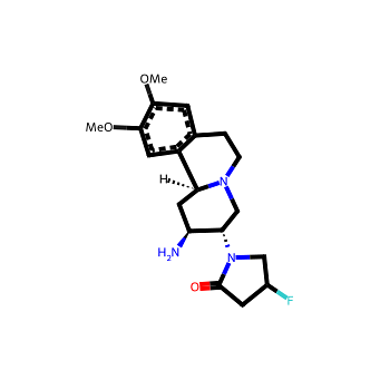 COc1cc2c(cc1OC)[C@@H]1C[C@H](N)[C@@H](N3CC(F)CC3=O)CN1CC2